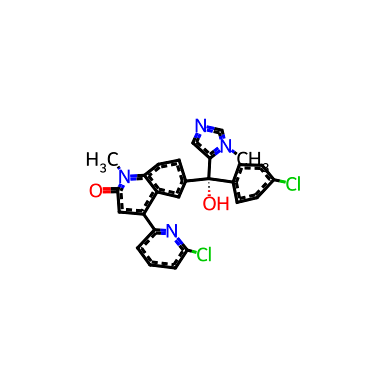 Cn1cncc1[C@@](O)(c1ccc(Cl)cc1)c1ccc2c(c1)c(-c1cccc(Cl)n1)cc(=O)n2C